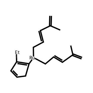 C=C(C)C=C[CH2][Ru]([CH2]C=CC(=C)C)[C]1=C(CC)C=CC1